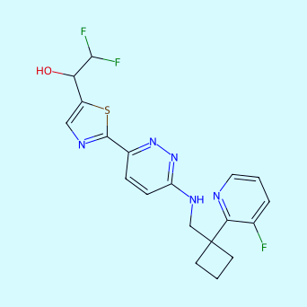 OC(c1cnc(-c2ccc(NCC3(c4ncccc4F)CCC3)nn2)s1)C(F)F